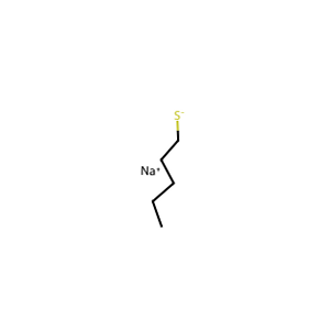 CCCCC[S-].[Na+]